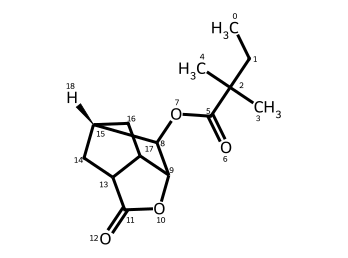 CCC(C)(C)C(=O)OC1C2OC(=O)C3C[C@@H]1CC32